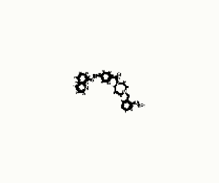 CC(C)Oc1ccccc1CN1CCCN(C(=O)c2ccc(NSc3cccc4cccnc34)cc2)CC1